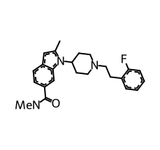 CNC(=O)c1ccc2cc(C)n(C3CCN(CCc4ccccc4F)CC3)c2c1